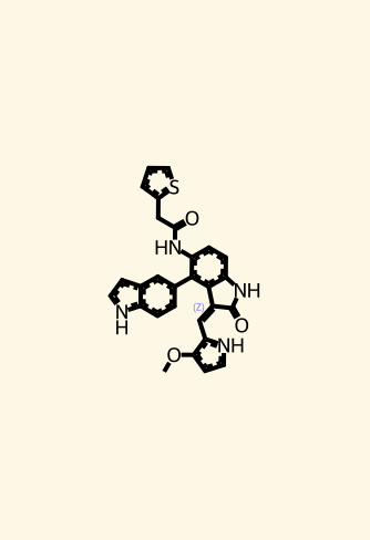 COc1cc[nH]c1/C=C1\C(=O)Nc2ccc(NC(=O)Cc3cccs3)c(-c3ccc4[nH]ccc4c3)c21